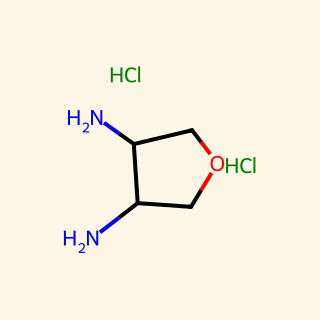 Cl.Cl.NC1COCC1N